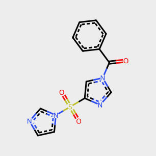 O=C(c1ccccc1)n1cnc(S(=O)(=O)n2ccnc2)c1